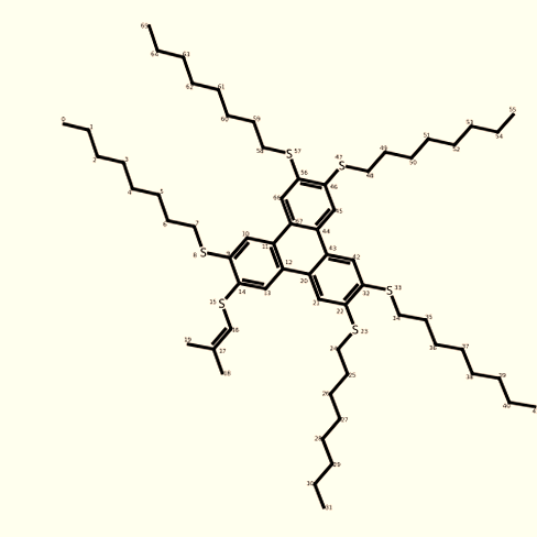 CCCCCCCCSc1cc2c(cc1SC=C(C)C)c1cc(SCCCCCCCC)c(SCCCCCCCC)cc1c1cc(SCCCCCCCC)c(SCCCCCCCC)cc21